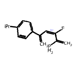 C=C(P)/C(F)=C\C(=C)c1ccc(C(C)C)cc1